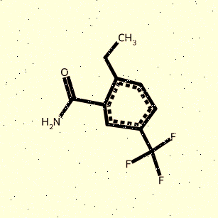 CCc1ccc(C(F)(F)F)cc1C(N)=O